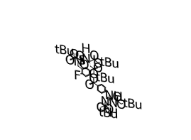 CC(C)(C)OC(=O)C[C@H](NS(=O)(=O)N(Cc1ccc(OC(=O)c2ccc(NC(=NC(=O)OC(C)(C)C)NC(=O)OC(C)(C)C)cc2)cc1F)C(=O)OC(C)(C)C)C(=O)OC(C)(C)C